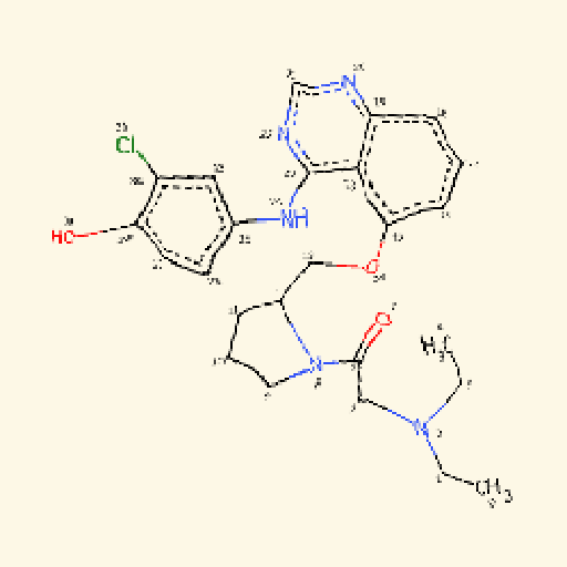 CCN(CC)CC(=O)N1CCCC1COc1cccc2ncnc(Nc3ccc(O)c(Cl)c3)c12